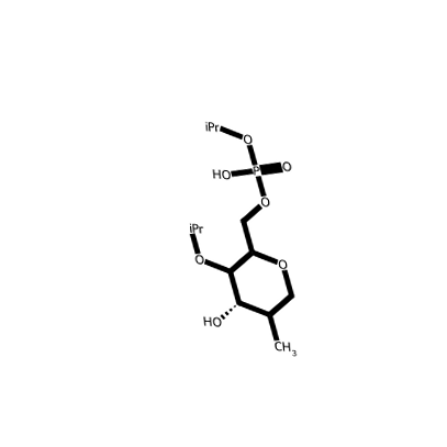 CC(C)OC1C(COP(=O)(O)OC(C)C)OCC(C)[C@@H]1O